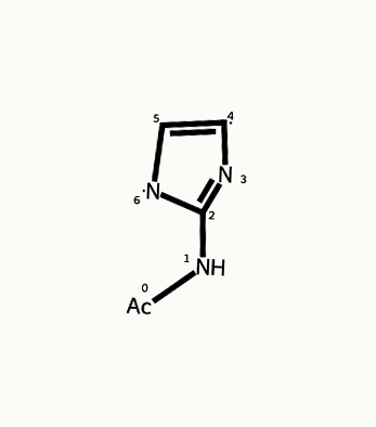 CC(=O)NC1=N[C]=C[N]1